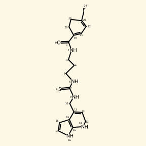 O=C(NCCCNC(=S)NCC1=CCNc2[nH]ccc21)C1=CC=C(F)CC1